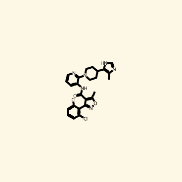 Cc1nc[nH]c1C1CCN(c2ncccc2NC(=O)c2c(-c3c(Cl)cccc3Cl)noc2C)CC1